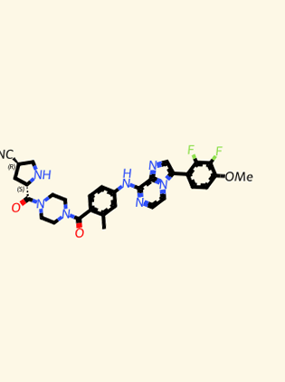 COc1ccc(-c2cnc3c(Nc4ccc(C(=O)N5CCN(C(=O)[C@@H]6C[C@@H](C#N)CN6)CC5)c(C)c4)nccn23)c(F)c1F